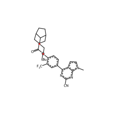 Cn1ccc2c(-c3ccc(OCCC4C5CCC4CN(C(=O)OC(C)(C)C)C5)c(C(F)(F)F)c3)nc(C#N)nc21